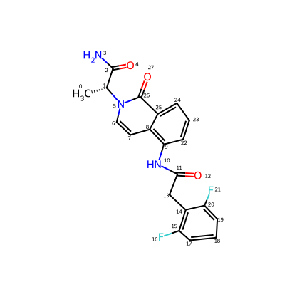 C[C@H](C(N)=O)n1ccc2c(NC(=O)Cc3c(F)cccc3F)cccc2c1=O